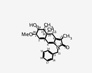 CO[C@@H]1C=C2C=C3C(=C(C)C(=O)N3Cc3ccccc3)C[C@]2(C)[C@@H](C)[C@H]1O